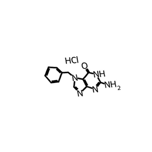 Cl.Nc1nc2ncn(Cc3ccccc3)c2c(=O)[nH]1